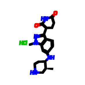 C[C@@H]1CNCC[C@H]1Nc1ccc2c(C3CCC(=O)NC3=O)nn(C)c2c1.Cl